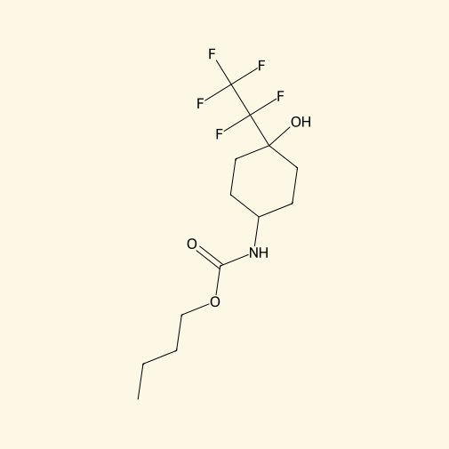 CCCCOC(=O)NC1CCC(O)(C(F)(F)C(F)(F)F)CC1